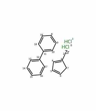 Cl.Cl.[Zr][C]1=CC=CC1.c1ccc(-c2ccccc2)cc1